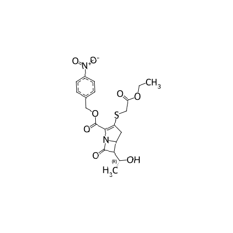 CCOC(=O)CSC1=C(C(=O)OCc2ccc([N+](=O)[O-])cc2)N2C(=O)C([C@@H](C)O)C2C1